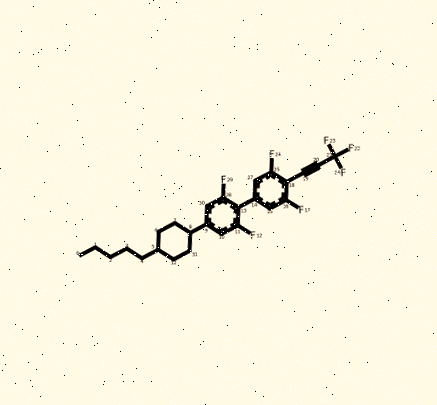 CCCCCC1CCC(c2cc(F)c(-c3cc(F)c(C#CC(F)(F)F)c(F)c3)c(F)c2)CC1